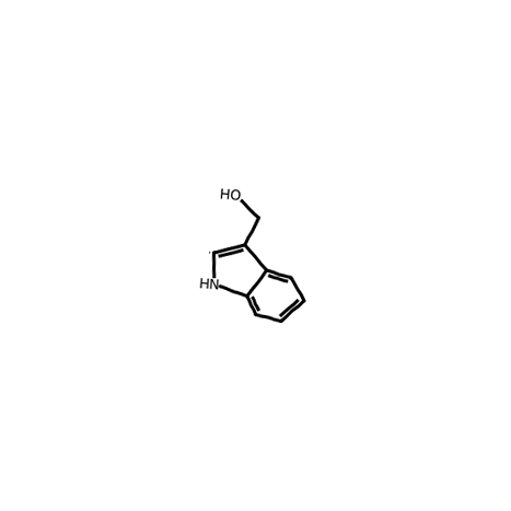 OCc1[c][nH]c2ccccc12